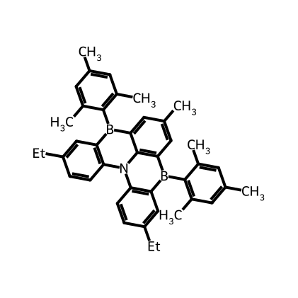 CCc1ccc2c(c1)B(c1c(C)cc(C)cc1C)c1cc(C)cc3c1N2c1ccc(CC)cc1B3c1c(C)cc(C)cc1C